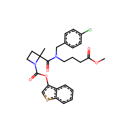 COC(=O)CCCN(Cc1ccc(Cl)cc1)C(=O)C1(C)CCN1C(=O)Oc1csc2ccccc12